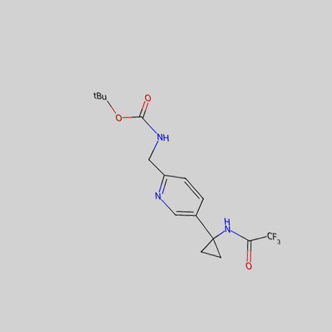 CC(C)(C)OC(=O)NCc1ccc(C2(NC(=O)C(F)(F)F)CC2)cn1